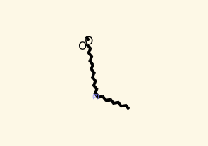 CCCCCC=CC/C=C\CCCCCCCCCCCC(=O)OC